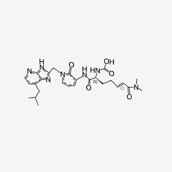 CC(C)Cc1ccnc2[nH]c(Cn3cccc(NC(=O)[C@H](CC/C=C/C(=O)N(C)C)NC(=O)O)c3=O)nc12